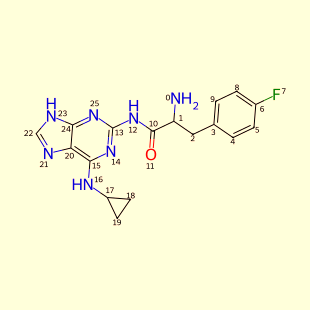 NC(Cc1ccc(F)cc1)C(=O)Nc1nc(NC2CC2)c2nc[nH]c2n1